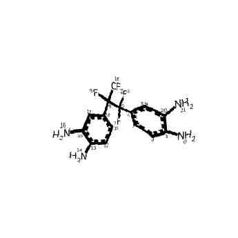 Nc1ccc(C(F)(F)C(F)(c2ccc(N)c(N)c2)C(F)(F)F)cc1N